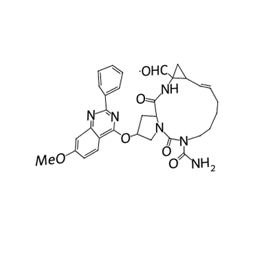 COc1ccc2c(OC3CC4C(=O)NC5([C]=O)CC5/C=C/CCCCN(C(N)=O)C(=O)N4C3)nc(-c3ccccc3)nc2c1